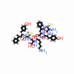 C[C](C(=O)[C@@H](Cc1ccc(O)cc1)NC(=O)[C@@H](CS)NC(=O)[C@@H](NC(=O)C(CCCCN)NC(=O)[C@@H](Cc1c[nH]c2ccccc12)NC(=O)C(Cc1ccc(O)cc1)NC(=O)C(N)CS)[C@@H](C)O)c1ccccc1